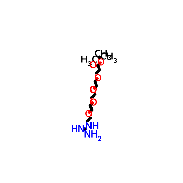 CC(C)(C)OC(=O)CCOCCOCCOCCOCCNC(=N)N